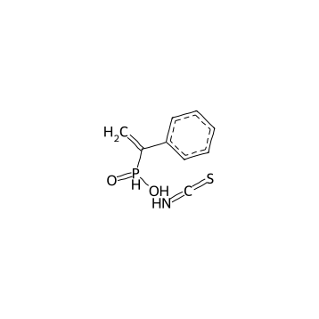 C=C(c1ccccc1)[PH](=O)O.N=C=S